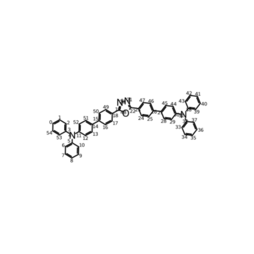 c1ccc(N(c2ccccc2)c2ccc(-c3ccc(-c4nnc(-c5ccc(-c6ccc(N(c7ccccc7)c7ccccc7)cc6)cc5)o4)cc3)cc2)cc1